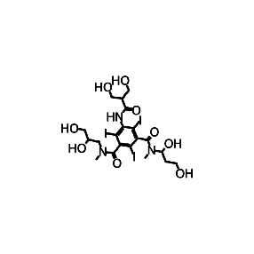 CN(CC(O)CO)C(=O)c1c(I)c(NC(=O)C(CO)CO)c(I)c(C(=O)N(C)C(O)CCO)c1I